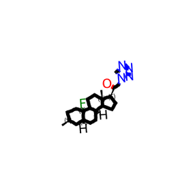 C[C@H]1CC[C@]2(F)C3CC[C@@]4(C)C(CC[C@@H]4C(=O)Cn4cnnn4)[C@@H]3CC[C@@H]2C1